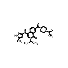 CC(=O)N1CCN(C(=O)c2ccc3c(Nc4cc(C)[nH]n4)nn(C(C)C)c(=O)c3c2)CC1